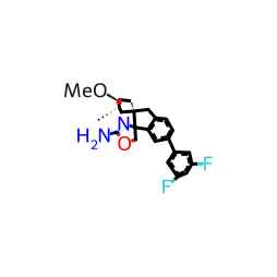 CO[C@H]1CC[C@@]2(Cc3ccc(-c4cc(F)cc(F)c4)cc3C23COC(N)=N3)C[C@@H]1C